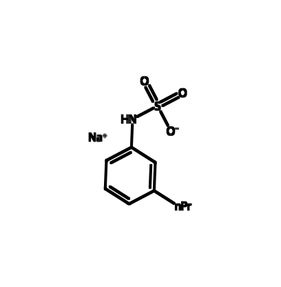 CCCc1cccc(NS(=O)(=O)[O-])c1.[Na+]